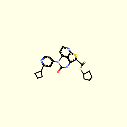 O=C(NC1CCCC1)c1sc2nccc3c2c1NC(=O)N3c1ccnc(C2CCC2)c1